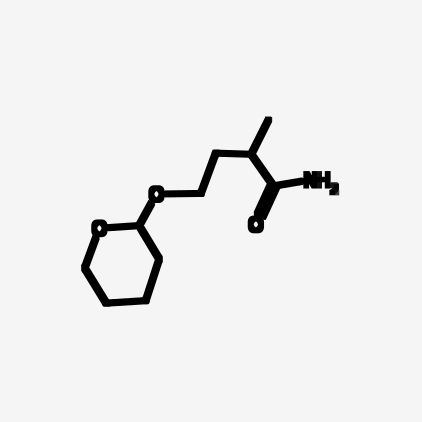 CC(CCOC1CCCCO1)C(N)=O